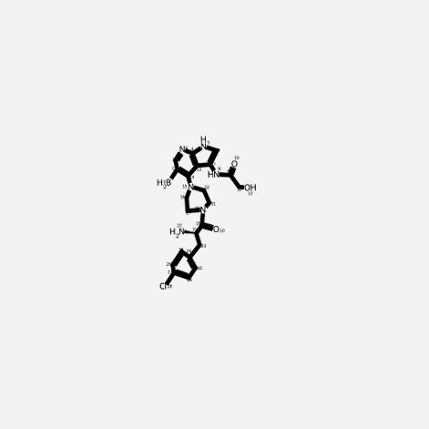 Bc1cnc2[nH]cc(NC(=O)CO)c2c1N1CCN(C(=O)[C@H](N)Cc2ccc(Cl)cc2)CC1